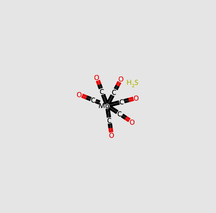 O=[C]=[Mo](=[C]=O)(=[C]=O)(=[C]=O)(=[C]=O)=[C]=O.S